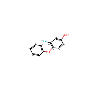 Oc1ccc(Oc2ccccc2)c(F)c1